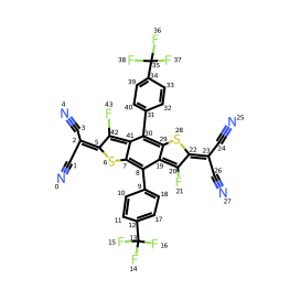 N#CC(C#N)=c1sc2c(-c3ccc(C(F)(F)F)cc3)c3c(F)c(=C(C#N)C#N)sc3c(-c3ccc(C(F)(F)F)cc3)c2c1F